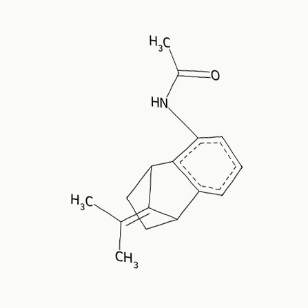 CC(=O)Nc1cccc2c1C1CCC2C1=C(C)C